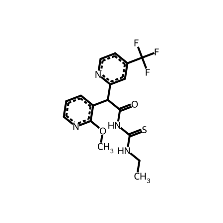 CCNC(=S)NC(=O)C(c1cc(C(F)(F)F)ccn1)c1cccnc1OC